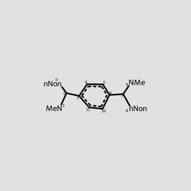 CCCCCCCCCC(NC)c1ccc(C(CCCCCCCCC)NC)cc1